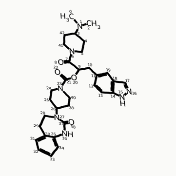 CN(C)C1CCN(C(=O)C(Cc2ccc3[nH]ncc3c2)OC(=O)N2CCC(N3CCc4ccccc4NC3=O)CC2)CC1